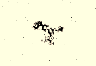 C[C@H](CO)NC(=O)c1cc(N2CCC(c3c[nH]c4ncccc34)CC2)nc(OC[C@H]2CCO2)n1